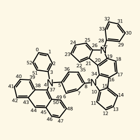 c1ccc(N(c2ccc(-n3c4ccccc4c4ccc5c(c6ccccc6n5-c5ccccc5)c43)cc2)c2c3ccccc3cc3ccccc23)cc1